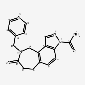 NC(=O)n1ncc2c3c(ccc21)C[C]C(=O)N(Cc1ccncc1)C3